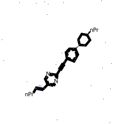 CCC/C=C/c1cnc(C#Cc2ccc([C@H]3CC[C@H](CCC)CC3)cc2)nc1